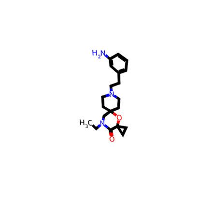 CCN1CC2(CCN(CCc3cccc(N)c3)CC2)OC2(CC2)C1=O